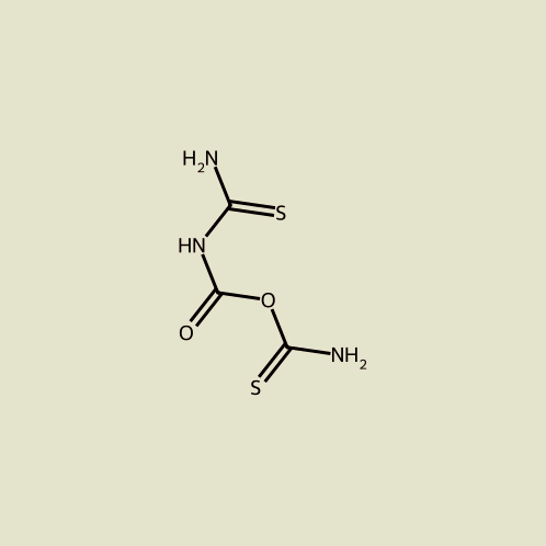 NC(=S)NC(=O)OC(N)=S